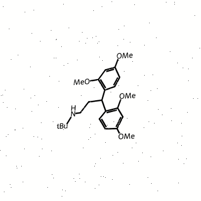 COc1ccc(C(CCNC(C)(C)C)c2ccc(OC)cc2OC)c(OC)c1